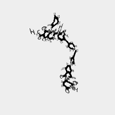 CC(=O)c1c(C)c2cnc(Nc3ccc(C4CCN(CC5CN(c6ccc7c(c6)CN(C6CCC(=O)NC6=O)C7=O)C5)CC4)cn3)nc2n(C2CCCC2)c1=O